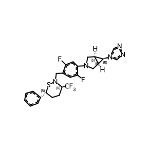 Fc1cc(N2C[C@@H]3[C@H](C2)[C@@H]3n2cnnc2)c(F)cc1CN1S[C@@H](c2ccccc2)CC[C@@H]1C(F)(F)F